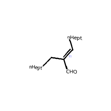 CCCCCCC/C=C(/C=O)CCCCCCCC